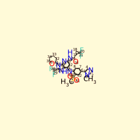 Cn1cncc1-c1ccc(Nc2cc(NC(=O)C3CC3(F)F)nc3c2nc(C(F)F)n3C2CCCCO2)c(S(C)(=O)=O)c1